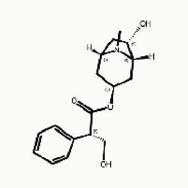 CN1[C@@H]2C[C@H](OC(=O)[C@H](CO)c3ccccc3)C[C@H]1[C@@H](O)C2